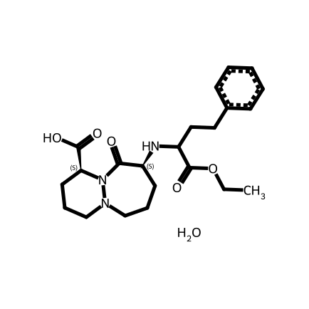 CCOC(=O)C(CCc1ccccc1)N[C@H]1CCCN2CCC[C@@H](C(=O)O)N2C1=O.O